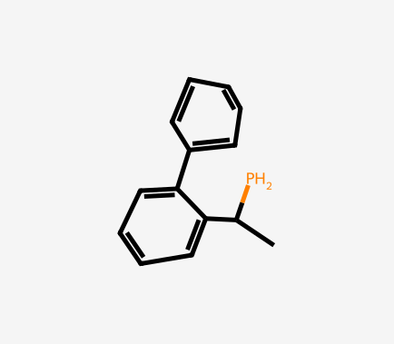 CC(P)c1ccccc1-c1ccccc1